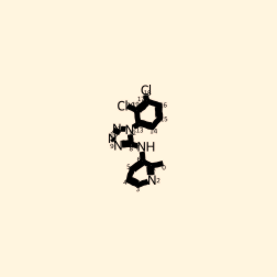 Cc1ncccc1Nc1nnnn1-c1cccc(Cl)c1Cl